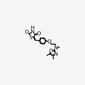 Cc1nc(N(C)CCOc2ccc(C=C3SC(=O)NC3=O)cc2)oc1C